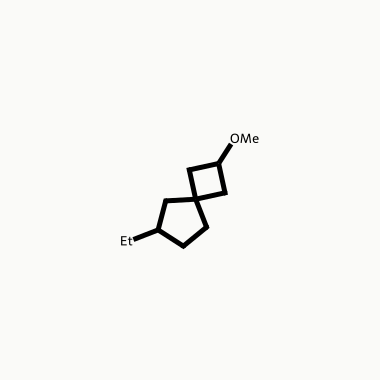 CCC1CCC2(C1)CC(OC)C2